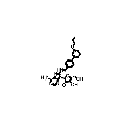 CCCOc1cccc(-c2ccc(CNc3nc4c(N)ncnc4n3[C@@H]3O[C@H](CO)[C@@H](O)[C@H]3O)cc2)c1